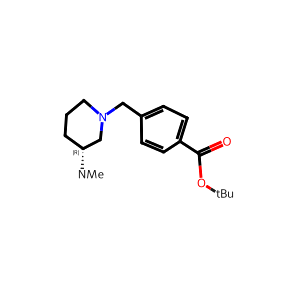 CN[C@@H]1CCCN(Cc2ccc(C(=O)OC(C)(C)C)cc2)C1